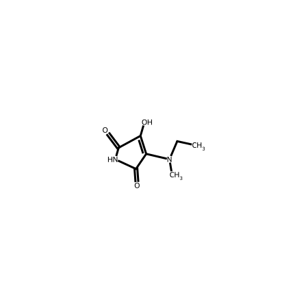 CCN(C)C1=C(O)C(=O)NC1=O